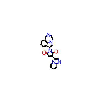 O=C1C=C(c2cnc3ccccn23)C(=O)N1c1cn2c3c(cccc13)C=NC=C2